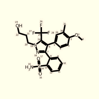 COc1ccc(-c2c(-c3ccccc3S(N)(=O)=O)nn(CCCO)c2C(F)(F)F)cc1C